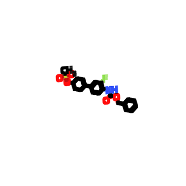 CS(=O)(=O)OC1CC=C(c2ccc(NC(=O)OCc3ccccc3)c(F)c2)CC1